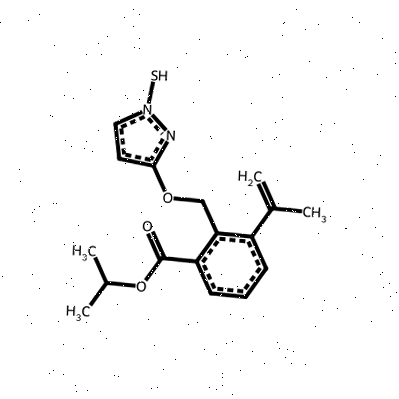 C=C(C)c1cccc(C(=O)OC(C)C)c1COc1ccn(S)n1